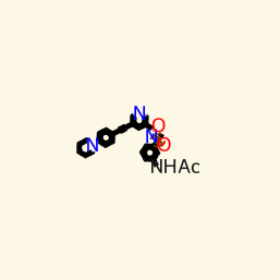 CC(=O)Nc1cccc(S(C)(=O)=NC(=O)c2cncc(C#Cc3ccc(N4CCCCC4)cc3)c2)c1